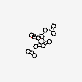 c1ccc(-c2cccc(-n3c4ccc(-n5c6ccccc6c6ccccc65)cc4c4ccc5c6ccccc6n(-c6nc(-c7ccccc7)nc(-c7cccc(-n8c9ccccc9c9ccccc98)c7)n6)c5c43)c2)cc1